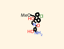 COCCCC[C@@](O)(c1ccccc1-c1ccccc1Cl)[C@@H]1CCCN(C(=O)[C@H]2C[C@@H](N)[C@@H](O)C2)C1